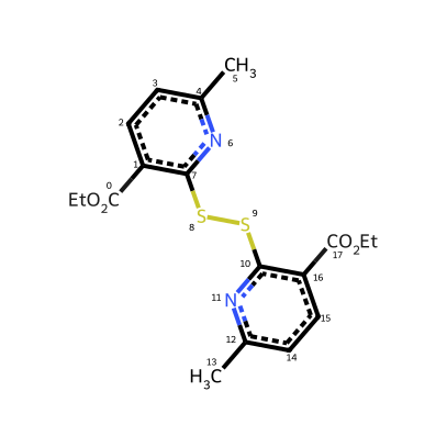 CCOC(=O)c1ccc(C)nc1SSc1nc(C)ccc1C(=O)OCC